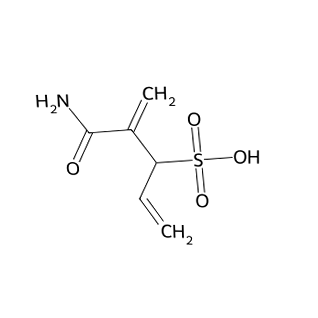 C=CC(C(=C)C(N)=O)S(=O)(=O)O